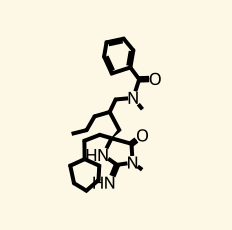 CCCC(CN(C)C(=O)c1ccccc1)C[C@]1(CCC2CCCCC2)NC(=N)N(C)C1=O